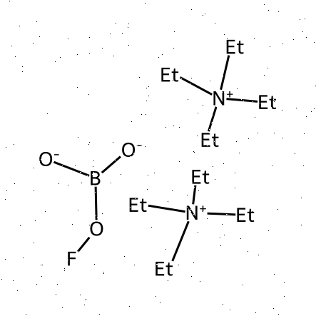 CC[N+](CC)(CC)CC.CC[N+](CC)(CC)CC.[O-]B([O-])OF